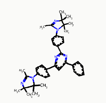 CC1=NC(C)(C)C(C)(C)N1c1ccc(-c2cc(-c3ccccc3)nc(-c3ccc(N4C(C)=NC(C)(C)C4(C)C)cc3)n2)cc1